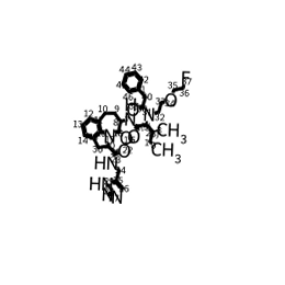 CC[C@H](C)[C@@H](C(=O)NC1CCc2cccc3c2N(C1=O)C(C(=O)NCc1cnn[nH]1)C3)N(CCOCCF)C(=O)Cc1ccccc1